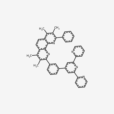 Cc1c(-c2ccccc2)nc2c(ccc3c(C)c(C)c(-c4cccc(-c5cc(-c6ccccn6)nc(-c6ccccn6)c5)c4)nc32)c1C